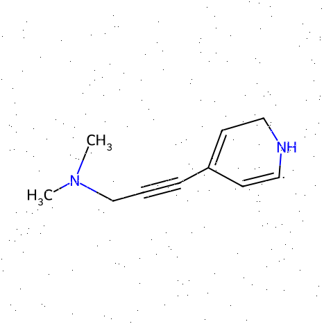 CN(C)CC#CC1=CCN[C]=C1